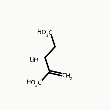 C=C(CCC(=O)O)C(=O)O.[LiH]